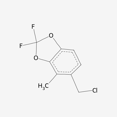 Cc1c(CCl)ccc2c1OC(F)(F)O2